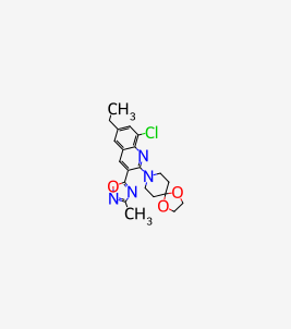 CCc1cc(Cl)c2nc(N3CCC4(CC3)OCCO4)c(-c3nc(C)no3)cc2c1